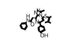 CC(C)=C(C)SC1=CC(c2ccc(O)cc2)=N[C@@H](CC(=O)Nc2ccccc2)c2nnc(C)n21